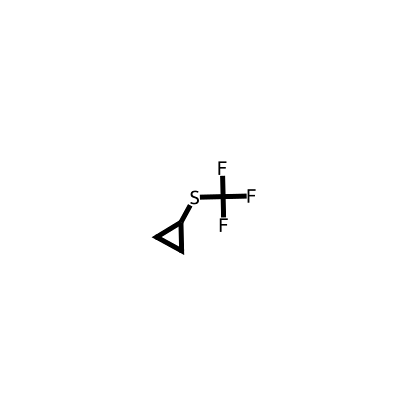 FC(F)(F)SC1CC1